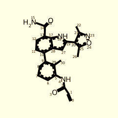 C=CC(=O)Nc1cccc(-c2ccc(C(N)=O)c3[nH]c(-c4c(C)noc4C)cc23)c1C